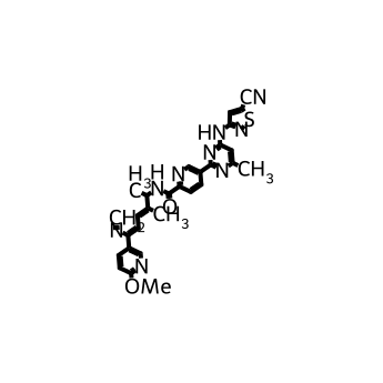 C=N/C(=C\C=C(/C)C(C)NC(=O)c1ccc(-c2nc(C)cc(Nc3cc(C#N)sn3)n2)cn1)c1ccc(OC)nc1